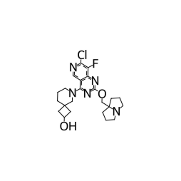 OC1CC2(CCCN(c3nc(OCC45CCCN4CCC5)nc4c(F)c(Cl)ncc34)C2)C1